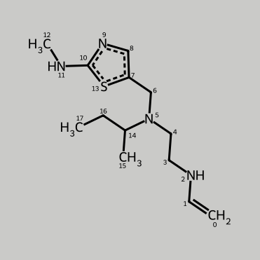 C=CNCCN(Cc1cnc(NC)s1)C(C)CC